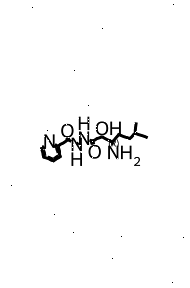 CC(C)CC[C@@H](N)C(O)C(=O)NNC(=O)c1ccccn1